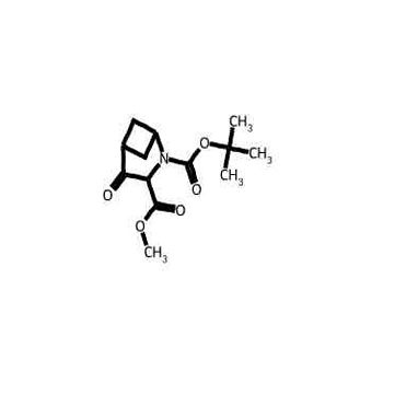 COC(=O)C1C(=O)C2CC(C2)N1C(=O)OC(C)(C)C